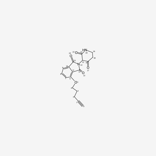 C#CCCCOc1cccc2c1C(=O)N(C1C(=O)CCNC1=O)C2=O